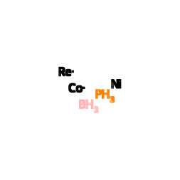 B.P.[Co].[Ni].[Re]